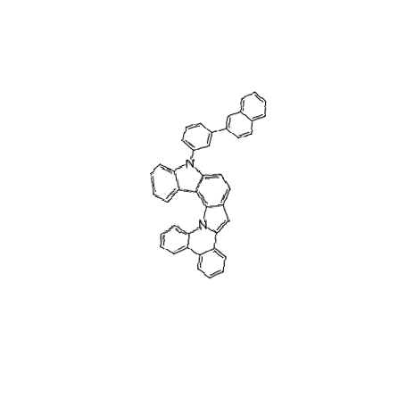 c1cc(-c2ccc3ccccc3c2)cc(-n2c3ccccc3c3c2ccc2cc4c5ccccc5c5ccccc5n4c23)c1